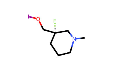 CN1CCC[C@@](F)(COI)C1